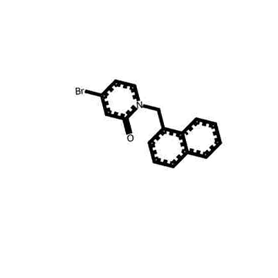 O=c1cc(Br)ccn1Cc1cccc2ccccc12